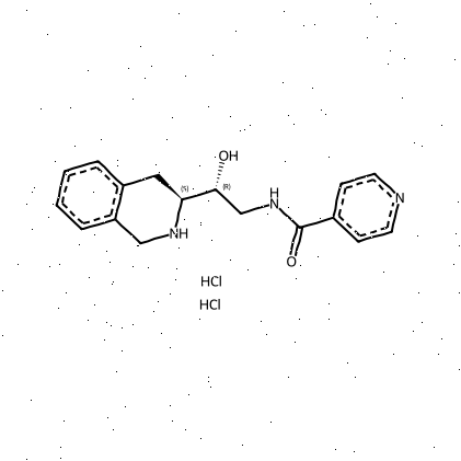 Cl.Cl.O=C(NC[C@@H](O)[C@@H]1Cc2ccccc2CN1)c1ccncc1